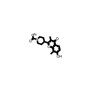 CCCC(=O)N1CCC(c2oc3c(C)c(O)ccc3c(=O)c2C)CC1